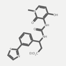 CCOC(=O)CC(NC(=O)Nc1c(O)ccn(C)c1=O)c1cccc(-c2nccs2)c1